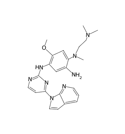 COc1cc(N(C)CCN(C)C)c(N)cc1Nc1nccc(-n2ccc3cccnc32)n1